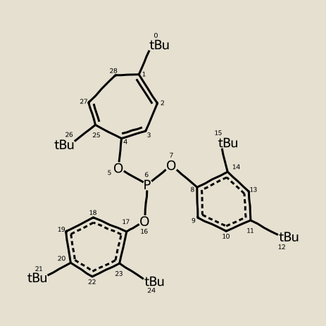 CC(C)(C)C1=CC=C(OP(Oc2ccc(C(C)(C)C)cc2C(C)(C)C)Oc2ccc(C(C)(C)C)cc2C(C)(C)C)C(C(C)(C)C)=CC1